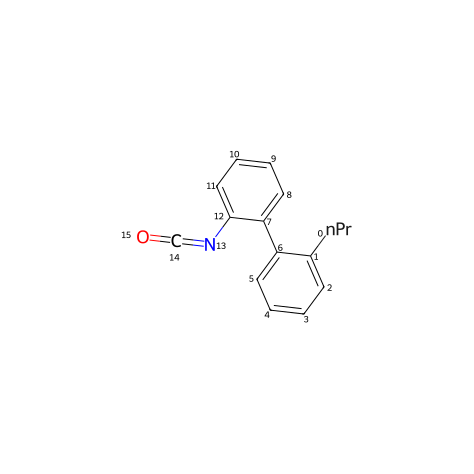 CCCc1ccccc1-c1ccccc1N=C=O